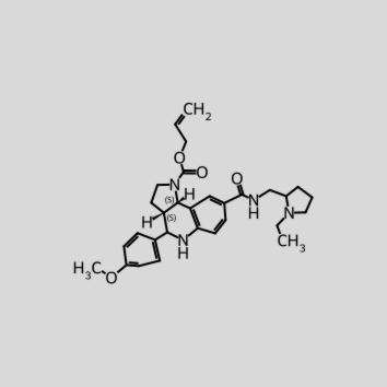 C=CCOC(=O)N1CC[C@H]2C(c3ccc(OC)cc3)Nc3ccc(C(=O)NCC4CCCN4CC)cc3[C@H]21